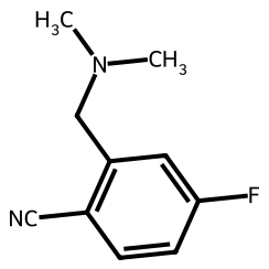 CN(C)Cc1cc(F)ccc1C#N